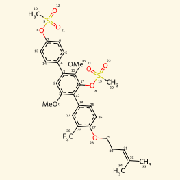 COc1cc(-c2ccc(OS(C)(=O)=O)cc2)c(OC)c(OS(C)(=O)=O)c1-c1ccc(OCCC=C(C)C)c(C(F)(F)F)c1